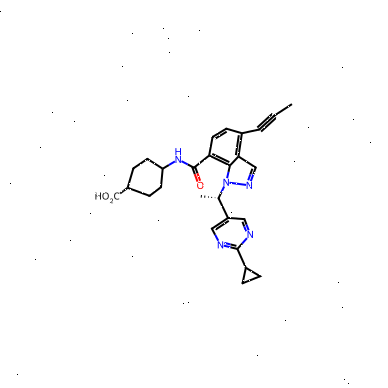 CC#Cc1ccc(C(=O)NC2CCC(C(=O)O)CC2)c2c1cnn2[C@@H](C)c1cnc(C2CC2)nc1